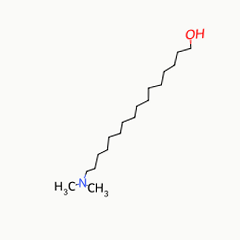 CN(C)CCCCCCCCCCCCCCCCO